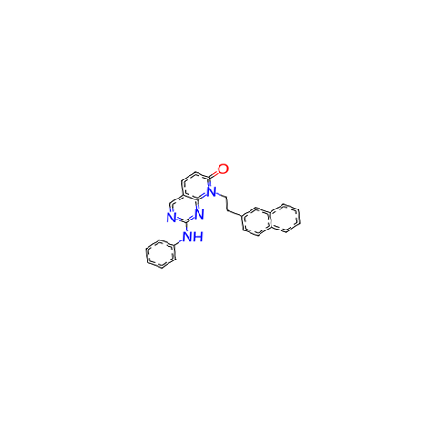 O=c1ccc2cnc(Nc3ccccc3)nc2n1CCc1ccc2ccccc2c1